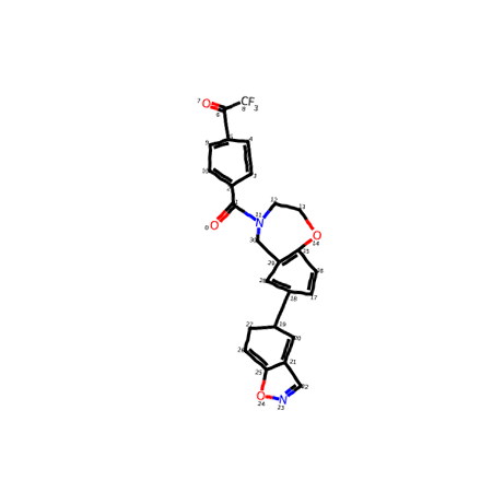 O=C(c1ccc(C(=O)C(F)(F)F)cc1)N1CCOc2ccc(C3C=c4cnoc4=CC3)cc2C1